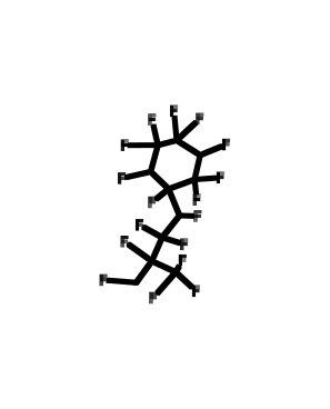 FCC(F)(C(F)(F)F)C(F)(F)C(F)C1(F)C(F)C(F)(F)C(F)(F)C(F)C1(F)F